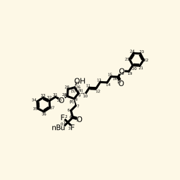 CCCCC(F)(F)C(=O)CC[C@@H]1[C@@H](CC=CCCCC(=O)OCc2ccccc2)[C@@H](O)C[C@H]1OCc1ccccc1